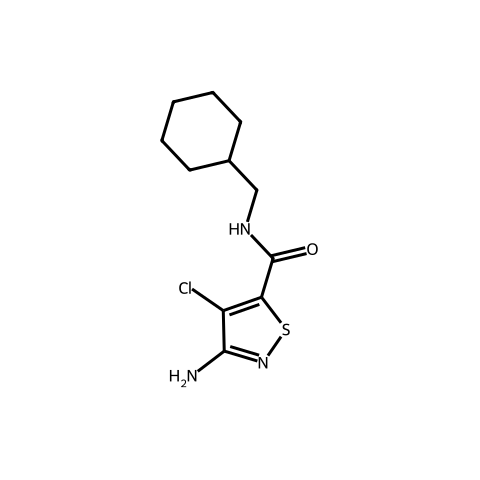 Nc1nsc(C(=O)NCC2CCCCC2)c1Cl